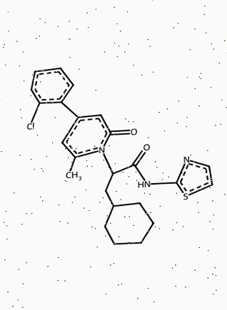 Cc1cc(-c2ccccc2Cl)cc(=O)n1C(CC1CCCCC1)C(=O)Nc1nccs1